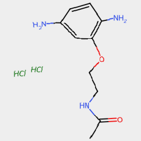 CC(=O)NCCOc1cc(N)ccc1N.Cl.Cl